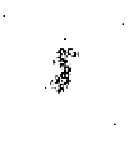 CCC(C(=O)[C@@H](C)[C@@H](O)[C@H](C)[C@@H]1O[C@@H](C(CC)C(=O)O)CC[C@@H]1C)[C@H]1O[C@]2(C=CC(NC(=O)CCl)[C@]3(CC[C@@](C)([C@H]4CC[C@](O)(CC)[C@H](C)O4)O3)O2)[C@H](C)C[C@@H]1C